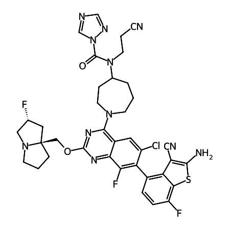 N#CCCN(C(=O)n1cncn1)C1CCCN(c2nc(OC[C@@]34CCCN3C[C@H](F)C4)nc3c(F)c(-c4ccc(F)c5sc(N)c(C#N)c45)c(Cl)cc23)CC1